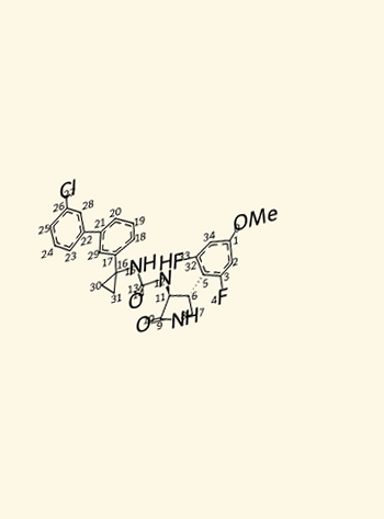 COc1cc(F)c([C@@H]2CNC(=O)[C@H]2NC(=O)NC2(c3cccc(-c4cccc(Cl)c4)c3)CC2)c(F)c1